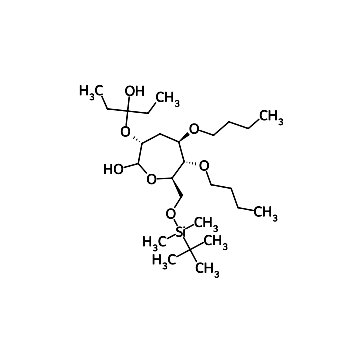 CCCCO[C@H]1[C@H](OCCCC)C[C@@H](OC(O)(CC)CC)C(O)O[C@@H]1CO[Si](C)(C)C(C)(C)C